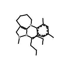 CCCC(CCC)N1C2=C(CCCCN2c2c(C)cc(C)cc2C)CN1C